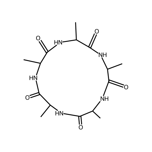 CC1NC(=O)C(C)NC(=O)C(C)NC(=O)C(C)NC(=O)C(C)NC1=O